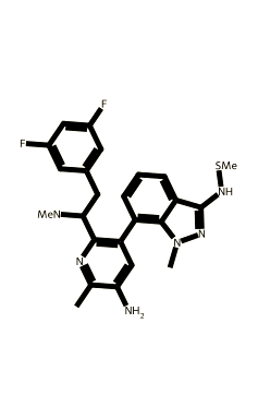 CNC(Cc1cc(F)cc(F)c1)c1nc(C)c(N)cc1-c1cccc2c(NSC)nn(C)c12